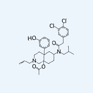 C=CCN1CCC2(c3cccc(O)c3)CC(N(CC(C)C)C(=O)Cc3ccc(Cl)c(Cl)c3)CCC2(OC(C)=O)C1